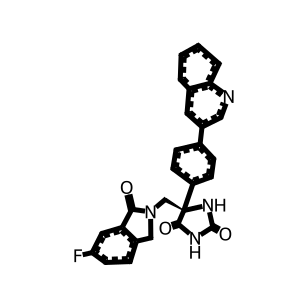 O=C1NC(=O)[C@](CN2Cc3ccc(F)cc3C2=O)(c2ccc(-c3cnc4ccccc4c3)cc2)N1